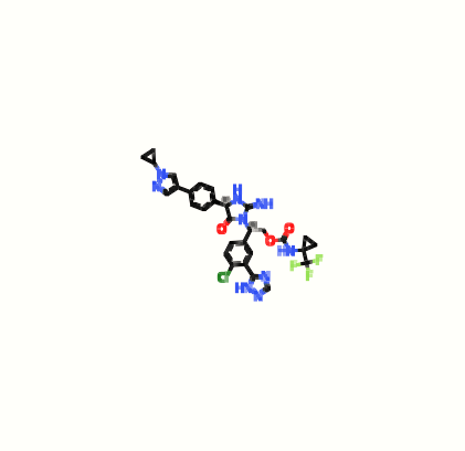 N=C1N[C@H](c2ccc(-c3cnn(C4CC4)c3)cc2)C(=O)N1[C@H](COC(=O)NC1(C(F)(F)F)CC1)c1ccc(Cl)c(-c2ncn[nH]2)c1